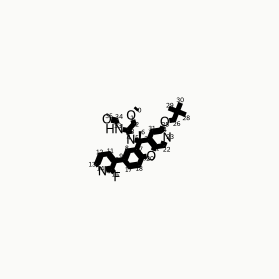 COC/C(=N\[C@@]1(C)c2cc(-c3cccnc3F)ccc2Oc2cnc(OCC(C)(C)C)cc21)NC=O